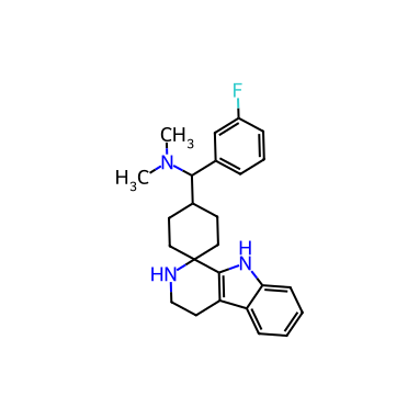 CN(C)C(c1cccc(F)c1)C1CCC2(CC1)NCCc1c2[nH]c2ccccc12